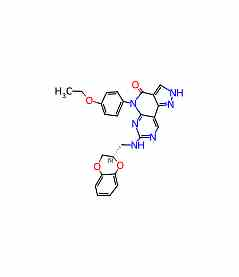 CCOc1ccc(-n2c(=O)c3c[nH]nc3c3cnc(NC[C@H]4COc5ccccc5O4)nc32)cc1